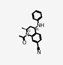 CC(=O)N1c2cc(C#N)ccc2[C@H](Nc2ccccc2)C[C@@H]1C